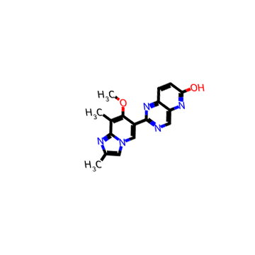 COc1c(-c2ncc3nc(O)ccc3n2)cn2cc(C)nc2c1C